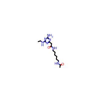 CCNc1nc(N)nc(CC(=O)NCCCCCCNC(C)=O)n1